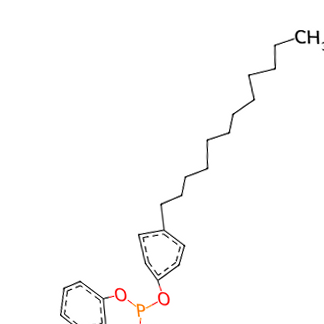 CCCCCCCCCCCCc1ccc(OP(O)Oc2ccccc2)cc1